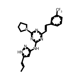 C/C=C/c1cc(Nc2nc(/C=C/c3cccc(C(F)(F)F)c3)nc(N3CCCC3)n2)n[nH]1